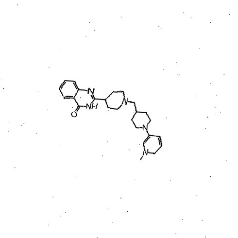 CN1C=C(N2CCC(CN3CCC(c4nc5ccccc5c(=O)[nH]4)CC3)CC2)C=CC1